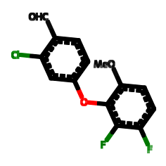 COc1ccc(F)c(F)c1Oc1ccc(C=O)c(Cl)c1